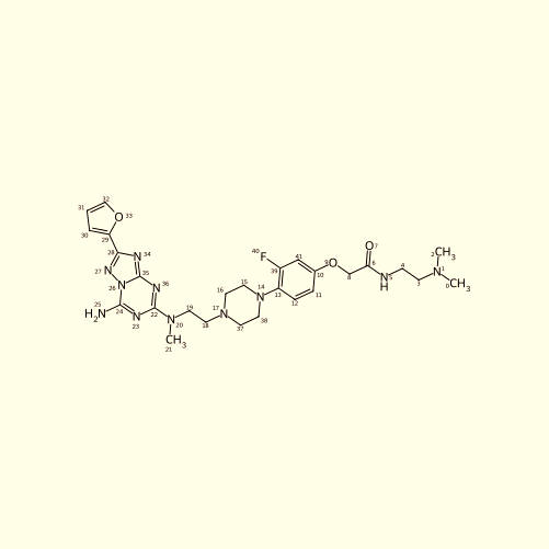 CN(C)CCNC(=O)COc1ccc(N2CCN(CCN(C)c3nc(N)n4nc(-c5ccco5)nc4n3)CC2)c(F)c1